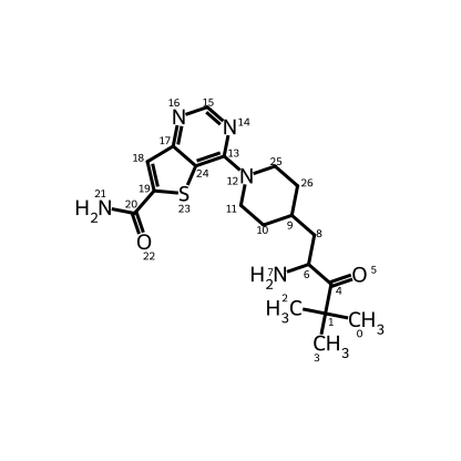 CC(C)(C)C(=O)C(N)CC1CCN(c2ncnc3cc(C(N)=O)sc23)CC1